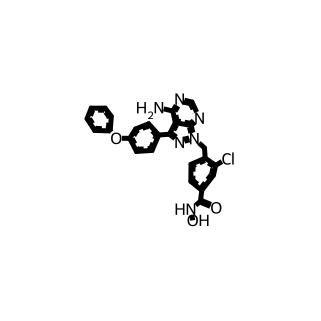 Nc1ncnc2c1c(-c1ccc(Oc3ccccc3)cc1)nn2Cc1ccc(C(=O)NO)cc1Cl